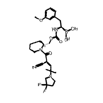 COc1cccc(CC(NC(=O)OC[C@H]2CCCCN2C(=O)C(C#N)=CC(C)(C)N2CCC(F)(F)C2)B(O)O)c1